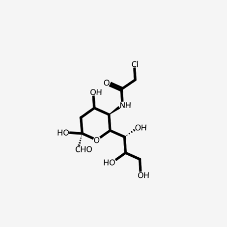 O=C[C@]1(O)CC(O)[C@@H](NC(=O)CCl)C([C@H](O)C(O)CO)O1